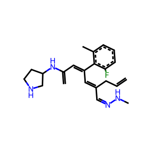 C=CCC(/C=N\NC)=C\C(=C/C(=C)NC1CCNC1)c1c(C)cccc1F